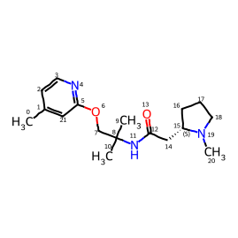 Cc1ccnc(OCC(C)(C)NC(=O)C[C@@H]2CCCN2C)c1